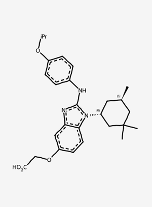 CC(C)Oc1ccc(Nc2nc3cc(OCC(=O)O)ccc3n2[C@@H]2C[C@@H](C)CC(C)(C)C2)cc1